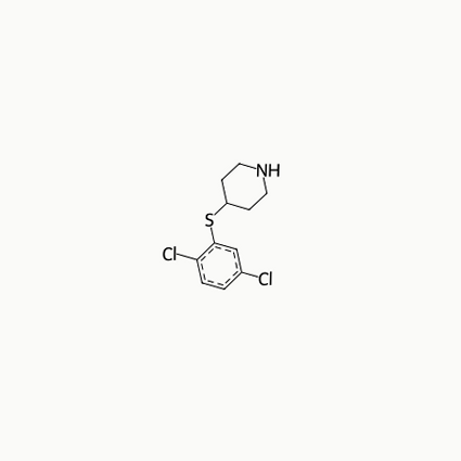 Clc1ccc(Cl)c(SC2CCNCC2)c1